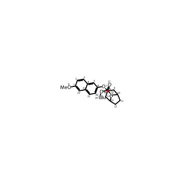 COc1ccc2cc(OC3CC4CCC(C3)N4C(=O)OC(C)(C)C)ccc2c1